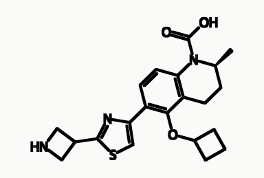 C[C@H]1CCc2c(ccc(-c3csc(C4CNC4)n3)c2OC2CCC2)N1C(=O)O